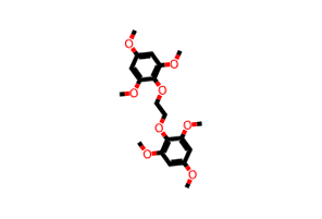 COc1cc(OC)c(OCCOc2c(OC)cc(OC)cc2OC)c(OC)c1